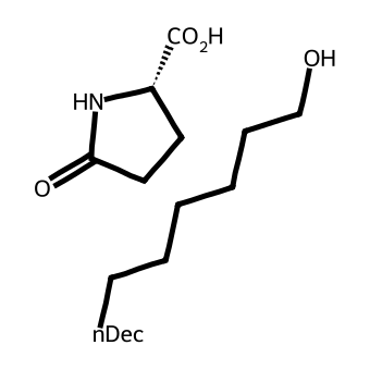 CCCCCCCCCCCCCCCCO.O=C1CC[C@@H](C(=O)O)N1